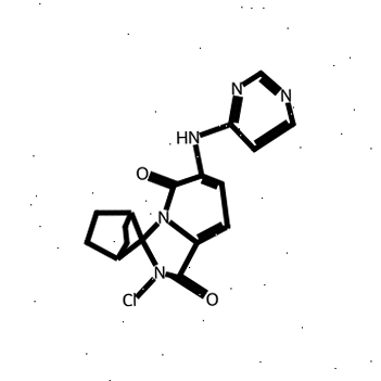 O=C1c2ccc(Nc3ccncn3)c(=O)n2C2(C3CCC2CC3)N1Cl